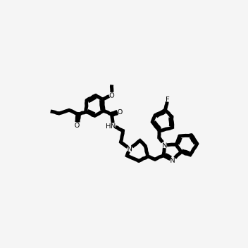 CCCC(=O)c1ccc(OC)c(C(=O)NCCN2CCC(Cc3nc4ccccc4n3Cc3ccc(F)cc3)CC2)c1